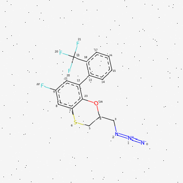 [N-]=[N+]=NCC1CSc2cc(F)cc(-c3ccccc3C(F)(F)F)c2O1